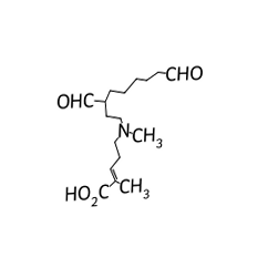 CC(=CCCN(C)CCC(C=O)CCCCCC=O)C(=O)O